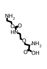 NCCOC(=O)NCCOC[C@H](N)C(=O)O